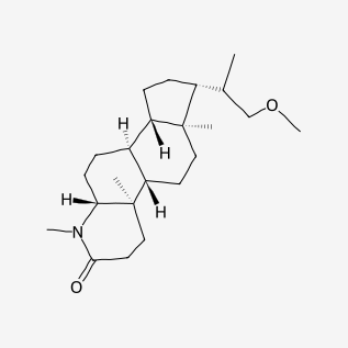 COCC(C)[C@H]1CC[C@H]2[C@@H]3CC[C@H]4N(C)C(=O)CC[C@]4(C)[C@H]3CC[C@]12C